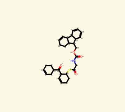 O=C(NCC(=O)SC1CCC=CC1C(=O)C1CC=CCC1)OCC1C2C=CC=CC2C2C=CCCC21